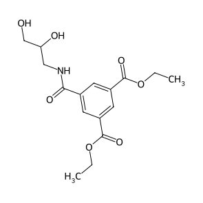 CCOC(=O)c1cc(C(=O)NCC(O)CO)cc(C(=O)OCC)c1